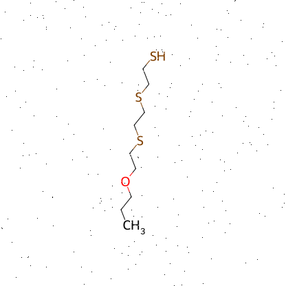 CCCOCCSCCSCCS